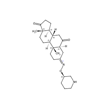 C[C@]12CC/C(=N\O[C@@H]3CCCNC3)C[C@@H]1C(=O)C[C@@H]1[C@@H]2CC[C@]2(C)C(=O)CC[C@@H]12